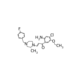 CCOc1cc(C(=O)/C=C/N2CCN(Cc3ccc(F)cc3)C[C@H]2C)c(N)cc1Cl